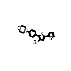 Brc1cc(-c2cccs2)sc1-c1ccc(N2CCOCC2)cc1